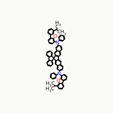 CC(C)c1cccc2c1oc1c(N(c3ccccc3)c3ccc4cc5c(cc4c3)C3(c4ccccc4-c4ccccc43)c3cc4cc(N(c6ccccc6)c6cccc7c6oc6c(C(C)C)cccc67)ccc4cc3-5)cccc12